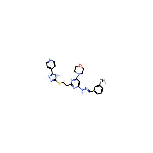 Cc1cccc(C=NNc2cc(N3CCOCC3)nc(CCSc3nnc(-c4ccncc4)[nH]3)n2)c1